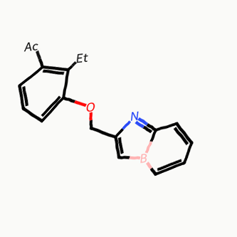 CCc1c(OCC2=CB3C=CC=CC3=N2)cccc1C(C)=O